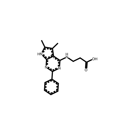 Cc1[nH]c2nc(-c3ccccc3)nc(NCCC(=O)O)c2c1C